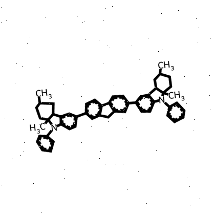 CC1CCC2(C)C(C1)c1cc(-c3ccc4c(c3)Cc3cc(-c5ccc6c(c5)C5CC(C)CCC5(C)N6c5ccccc5)ccc3-4)ccc1N2c1ccccc1